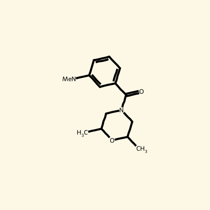 CNc1cccc(C(=O)N2CC(C)OC(C)C2)c1